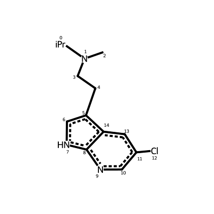 CC(C)N(C)CCc1c[nH]c2ncc(Cl)cc12